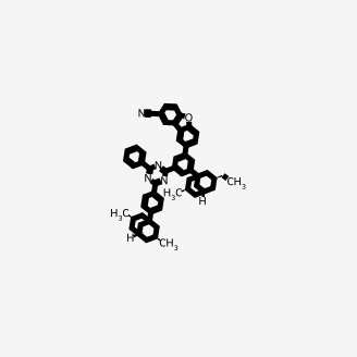 CC[C@@H]1C[C@@H]2C[C@H](C)CC(c3cc(-c4ccc5oc6ccc(C#N)cc6c5c4)cc(-c4nc(-c5ccccc5)nc(-c5ccc(C67C[C@H](C)C[C@H](C[C@H](C)C6)C7)cc5)n4)c3)(C1)C2